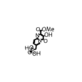 COC(=O)c1nc2ccc(CP(=O)(O)O)cn2c(=O)c1O